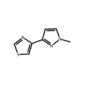 Cn1c[c]c(-c2cscn2)n1